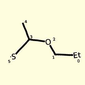 CCCOC(C)[S]